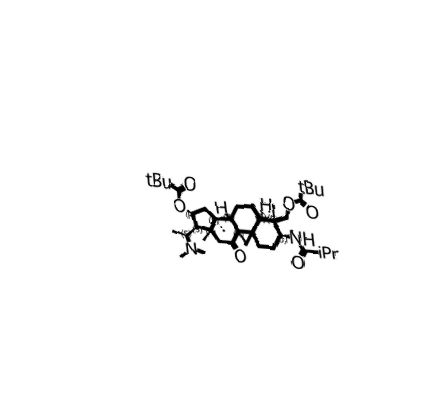 CC(C)C(=O)N[C@H]1CCC23C[C@]24C(=O)C[C@]2(C)[C@@H]([C@H](C)N(C)C)[C@H](OC(=O)C(C)(C)C)C[C@@]2(C)[C@@H]4CC[C@H]3[C@]1(C)COC(=O)C(C)(C)C